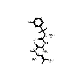 CCc1cccc(C(C)(C)[C@H](NC)C(=O)N[C@H](C(=O)N(C)[C@H](/C=C(\C)C(=O)O)C(C)C)C(C)(C)C)c1